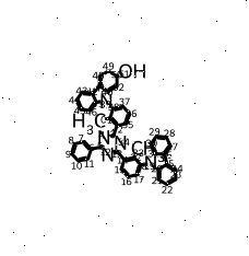 Cc1c(-c2nc(-c3ccccc3)nc(-c3cccc(-n4c5ccccc5c5ccccc54)c3C)n2)cccc1-n1c2c(c3ccccc31)=CCC(O)C=2